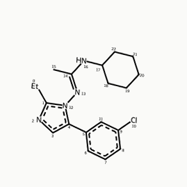 CCc1ncc(-c2cccc(Cl)c2)n1/N=C(\C)NC1CCCCC1